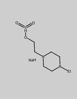 CCN1CCN(CCO[SH](=O)=O)CC1.[NaH]